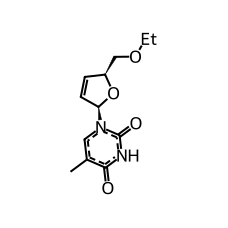 CCOC[C@@H]1C=C[C@H](n2cc(C)c(=O)[nH]c2=O)O1